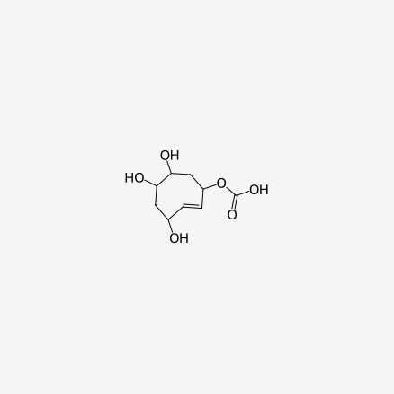 O=C(O)OC1/C=C/C(O)CC(O)C(O)C1